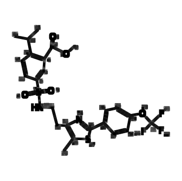 COC(=O)c1cc(S(=O)(=O)NCCc2nc(-c3ccc(OC(F)(F)F)cc3)sc2C)ccc1C(C)C